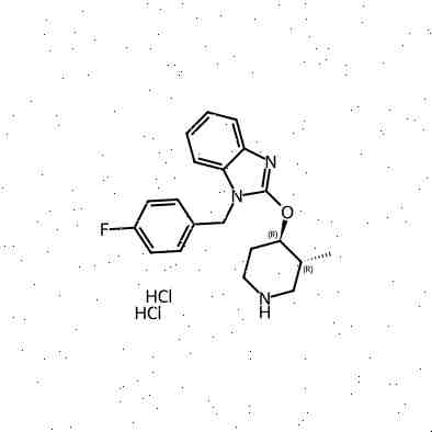 C[C@@H]1CNCC[C@H]1Oc1nc2ccccc2n1Cc1ccc(F)cc1.Cl.Cl